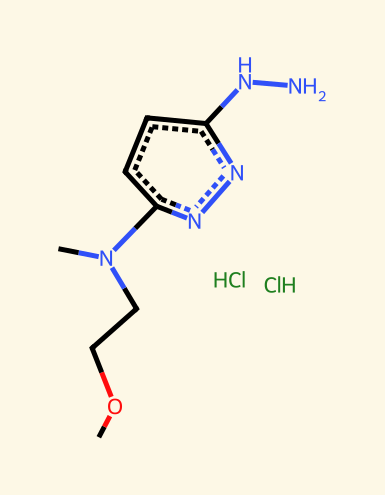 COCCN(C)c1ccc(NN)nn1.Cl.Cl